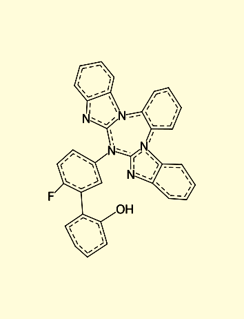 Oc1ccccc1-c1cc(-n2c3nc4ccccc4n3c3ccccc3n3c4ccccc4nc23)ccc1F